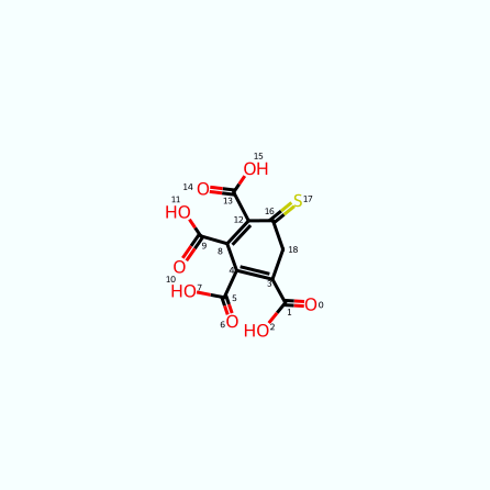 O=C(O)C1=C(C(=O)O)C(C(=O)O)=C(C(=O)O)C(=S)C1